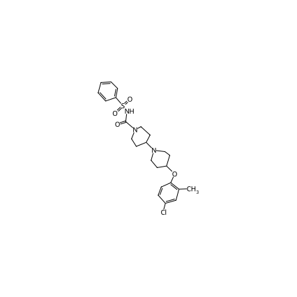 Cc1cc(Cl)ccc1OC1CCN(C2CCN(C(=O)NS(=O)(=O)c3ccccc3)CC2)CC1